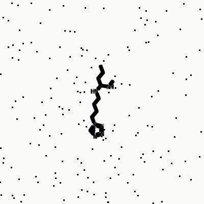 CCCC(NC)NCCCCn1cnnn1